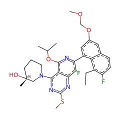 CCc1c(F)ccc2cc(OCOC)cc(-c3nc(OC(C)C)c4c(N5CCC[C@@](C)(O)C5)nc(SC)nc4c3F)c12